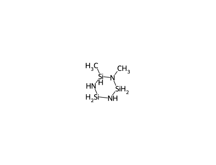 CN1[SiH2]N[SiH2]N[SiH]1C